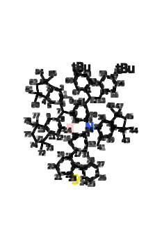 Cc1cc2c(cc1C1c3cc4c(cc3B3c5cc(-c6cccc7sc8ccccc8c67)ccc5N(c5cc6c(cc5C)C(C)(C)CC6(C)C)c5cc(C(Cc6ccc(C(C)(C)C)cc6)c6ccc(C(C)(C)C)cc6)cc1c53)C(C)(C)CCC4(C)C)C(C)(C)CC2(C)C